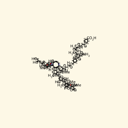 CCN(C(=O)CNC(=O)OCc1ccc(NC(=O)[C@H](CC(N)=O)NC(=O)[C@H](C)NC(=O)[C@H](C)NC(=O)CCC(=O)N2CCC(C(=O)O)CC2)cc1)C1COC(OC2C(O[C@H]3C#C/C=C\C#C[C@]4(O)CC(=O)C(NC(=O)OC)=C3/C4=C\CSSC(C)(C)CC(=O)NCC(O)CO)OC(C)C(NOC3CC(O)C(SC(=O)c4c(C)c(I)c(OC5OC6OC6C(OC)C5O)c(OC)c4OC)C(C)O3)C2O)CC1OC